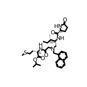 CC[C@H](C)[C@@H](CN(CC(=O)N[C@@H](CCSC)C(=O)OC(C)C)Cc1cccc2ccccc12)NC(=O)[C@@H]1CCC(=O)N1